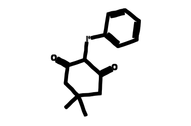 CC1(C)CC(=O)C([I+]c2ccccc2)C(=O)C1